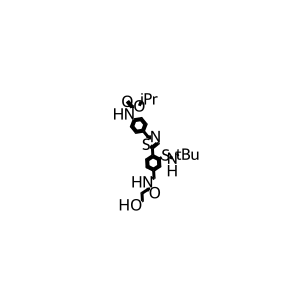 CC(C)OC(=O)Nc1ccc(-c2ncc(-c3ccc(CNC(=O)CCO)cc3SNC(C)(C)C)s2)cc1